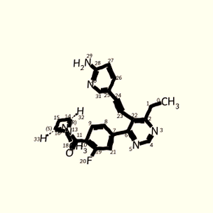 CCc1ncnc(-c2ccc(C(=O)N3[C@@H]4C[C@H]3N4C)c(F)c2)c1C#Cc1ccc(N)nc1